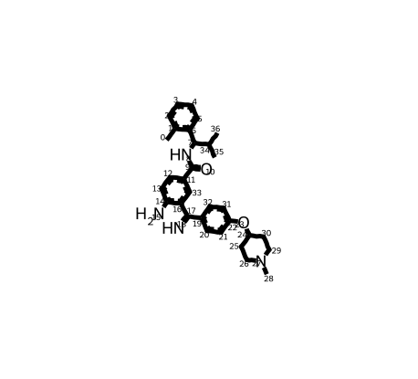 Cc1ccccc1C(NC(=O)c1ccc(N)c(C(=N)c2ccc(OC3CCN(C)CC3)cc2)c1)C(C)C